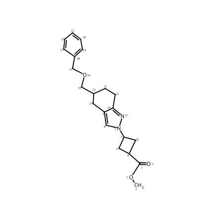 COC(=O)C1CC(n2cc3c(n2)CCC(COCc2ccccc2)C3)C1